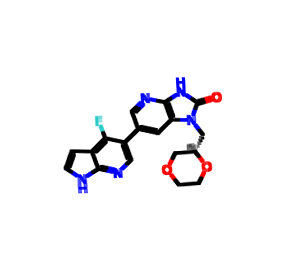 O=c1[nH]c2ncc(-c3cnc4[nH]ccc4c3F)cc2n1C[C@H]1COCCO1